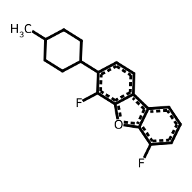 CC1CCC(c2ccc3c(oc4c(F)cccc43)c2F)CC1